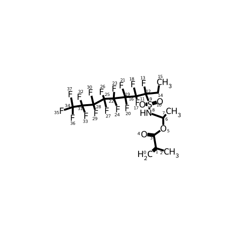 C=C(C)C(=O)OC(C)NS(=O)(=O)C(F)(CC)C(F)(F)C(F)(F)C(F)(F)C(F)(F)C(F)(F)C(F)(F)C(F)(F)F